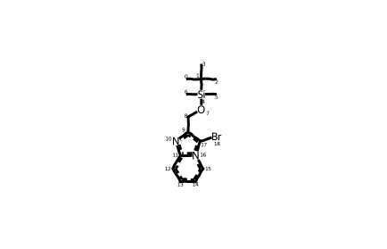 CC(C)(C)[Si](C)(C)OCc1nc2ccccn2c1Br